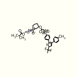 Cc1ccc(-c2cc(C(F)(F)F)nn2-c2ccc(S(=O)(=O)NC(=O)OC3CCCN(/[N+]([O-])=N/OCOC(=O)C(C)C)C3)cc2)cc1